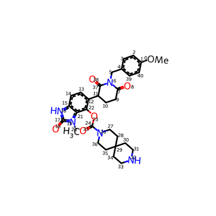 COc1ccc(CN2C(=O)CCC(c3ccc4[nH]c(=O)n(C)c4c3OC(=O)N3CCC4(CCNCC4)CC3)C2=O)cc1